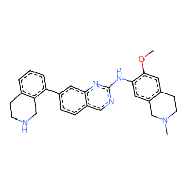 COc1cc2c(cc1Nc1ncc3ccc(-c4cccc5c4CNCC5)cc3n1)CN(C)CC2